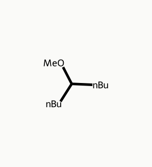 CCCCC(CCCC)OC